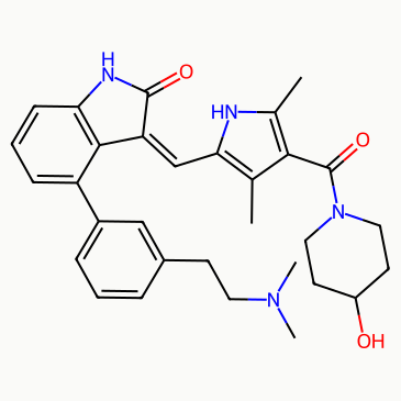 Cc1[nH]c(/C=C2\C(=O)Nc3cccc(-c4cccc(CCN(C)C)c4)c32)c(C)c1C(=O)N1CCC(O)CC1